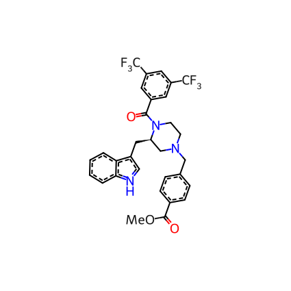 COC(=O)c1ccc(CN2CCN(C(=O)c3cc(C(F)(F)F)cc(C(F)(F)F)c3)[C@H](Cc3c[nH]c4ccccc34)C2)cc1